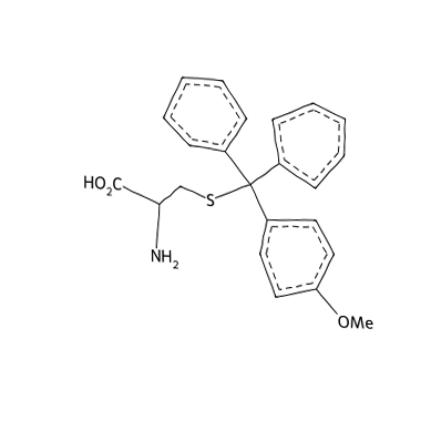 COc1ccc(C(SCC(N)C(=O)O)(c2ccccc2)c2ccccc2)cc1